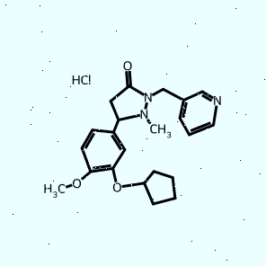 COc1ccc(C2CC(=O)N(Cc3cccnc3)N2C)cc1OC1CCCC1.Cl